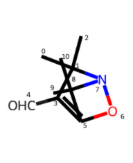 CC1(C)C(C=O)=C2ON1C2(C)C